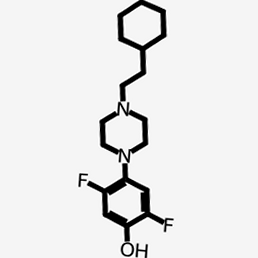 Oc1cc(F)c(N2CCN(CCC3CCCCC3)CC2)cc1F